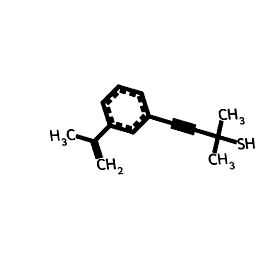 C=C(C)c1cccc(C#CC(C)(C)S)c1